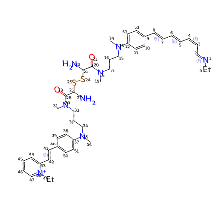 CC/N=C/C=C\C=C\C=C\c1ccc(N(C)CCCN(C)C(=O)C(N)SSC(N)C(=O)N(C)CCCN(C)c2ccc(/C=C/c3cccc[n+]3CC)cc2)cc1